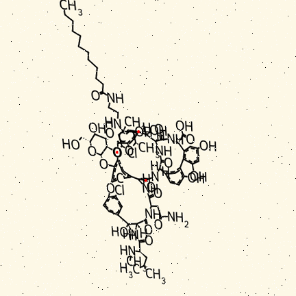 CCCCCCCCCCCC(=O)NCCN[C@@]1(C)C[C@H](O[C@H]2[C@H](Oc3c4cc5cc3Oc3ccc(cc3Cl)[C@@H](O)[C@@H](NC(=O)[C@@H](CC(C)C)NC)C(=O)NC(CC(N)=O)C(=O)N[C@H]5C(=O)N[C@H]3C(=O)N[C@H](C(=O)N[C@@H](C(=O)O)c5cc(O)cc(O)c5-c5cc3ccc5O)[C@H](O)c3ccc(c(Cl)c3)O4)O[C@H](CO)[C@@H](O)[C@@H]2O)O[C@@H](C)[C@H]1O